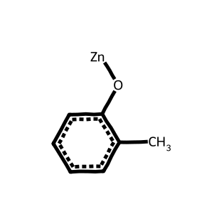 Cc1ccccc1[O][Zn]